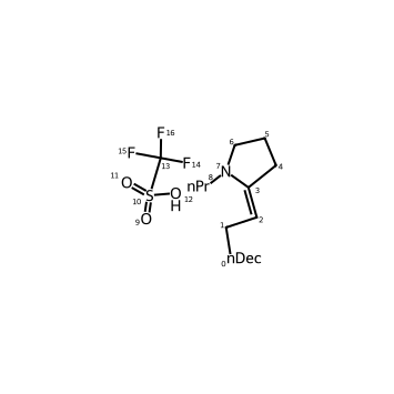 CCCCCCCCCCCC=C1CCCN1CCC.O=S(=O)(O)C(F)(F)F